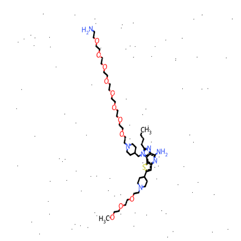 CCCCc1nc2c(N)nc3cc(C4CCN(CCOCCOCCOC)CC4)sc3c2n1CC1CCN(CCOCCOCCOCCOCCOCCOCCOCCOCCN)CC1